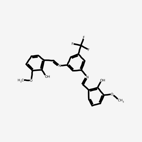 COc1cccc(C=Nc2cc(N=Cc3cccc(OC)c3O)cc(C(F)(F)F)c2)c1O